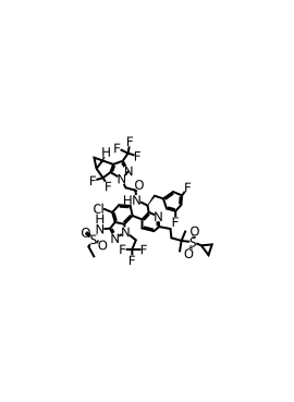 CCS(=O)(=O)Nc1nn(CC(F)(F)F)c2c(-c3ccc(CCC(C)(C)S(=O)(=O)C4CC4)nc3[C@H](Cc3cc(F)cc(F)c3)NC(=O)Cn3nc(C(F)(F)F)c4c3C(F)(F)C3C[C@H]43)ccc(Cl)c12